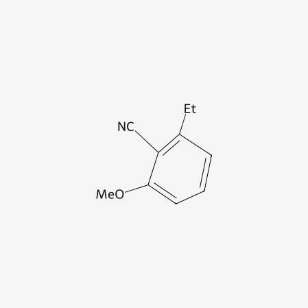 CCc1cccc(OC)c1C#N